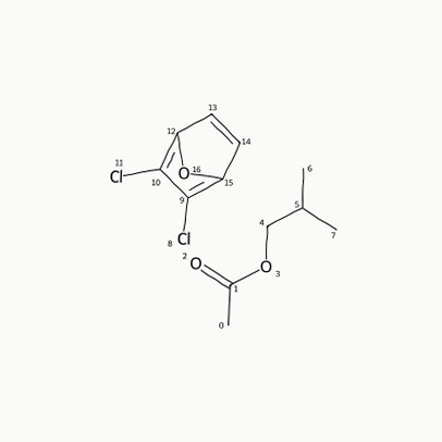 CC(=O)OCC(C)C.Clc1c(Cl)c2ccc1o2